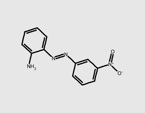 Nc1ccccc1N=Nc1cccc([N+](=O)[O-])c1